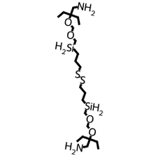 CCC(CC)(CN)OCOC[SiH2]CCCSSCCC[SiH2]COCOC(CC)(CC)CN